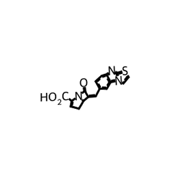 O=C(O)C1=CCC2C(=Cc3ccc4nc5sccn5c4c3)C(=O)N12